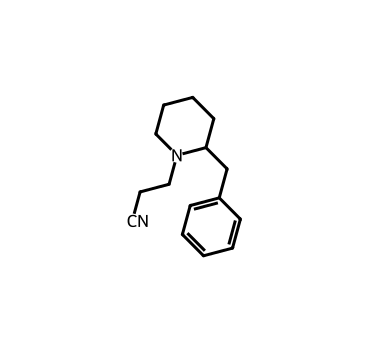 N#CCCN1CCCCC1Cc1ccccc1